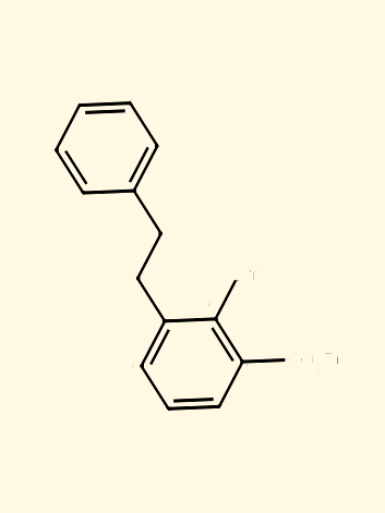 CCOC(=O)c1cccc(CCc2ccccc2)c1C(C)C